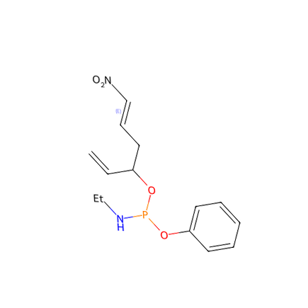 C=CC(C/C=C/[N+](=O)[O-])OP(NCC)Oc1ccccc1